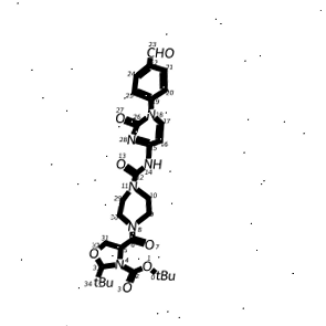 CC(C)(C)OC(=O)N1C(C(=O)N2CCN(C(=O)Nc3ccn(-c4ccc(C=O)cc4)c(=O)n3)CC2)COC1C(C)(C)C